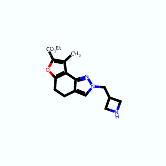 CCOC(=O)c1oc2c(c1C)-c1nn(CC3CNC3)cc1CC2